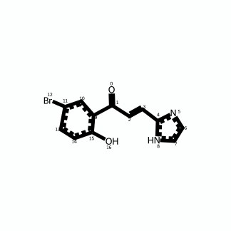 O=C(C=Cc1ncc[nH]1)c1cc(Br)ccc1O